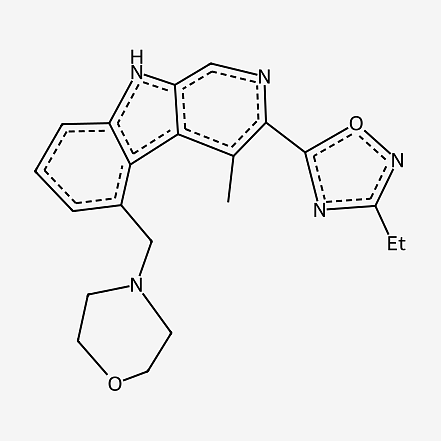 CCc1noc(-c2ncc3[nH]c4cccc(CN5CCOCC5)c4c3c2C)n1